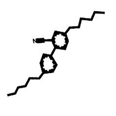 CCCCCCc1ccc(-c2ccc(CCCCCC)cc2C#N)cc1